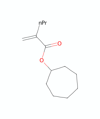 C=C(CCC)C(=O)OC1CCCCCC1